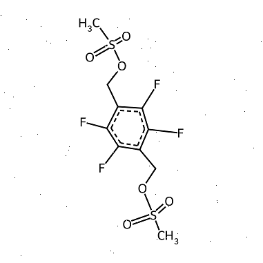 CS(=O)(=O)OCc1c(F)c(F)c(COS(C)(=O)=O)c(F)c1F